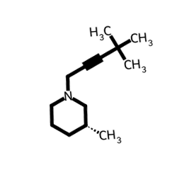 C[C@@H]1CCCN(CC#CC(C)(C)C)C1